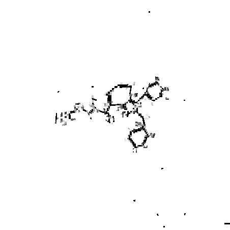 COCNC(=O)c1cccc2c(-c3ccccc3)n(Cc3ccccc3)nc12